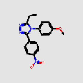 CCc1nnc(-c2ccc([N+](=O)[O-])cc2)n1-c1ccc(OC)cc1